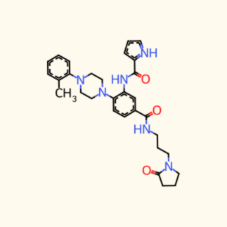 Cc1ccccc1N1CCN(c2ccc(C(=O)NCCCN3CCCC3=O)cc2NC(=O)c2ccc[nH]2)CC1